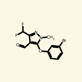 Cn1nc(C(F)F)c(C=O)c1Oc1cccc(Br)c1